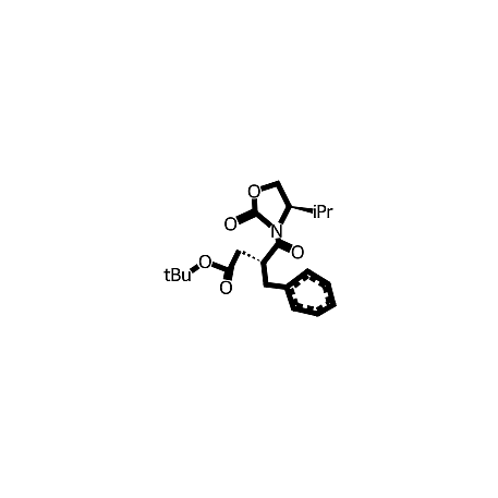 CC(C)[C@@H]1COC(=O)N1C(=O)[C@@H](CC(=O)OC(C)(C)C)Cc1ccccc1